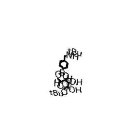 CC(C)(C)NCc1ccc(B2OC[C@H]3O[C@H](OC(C)(C)C)[C@H](O)[C@@H](O)[C@@H]3O2)cc1